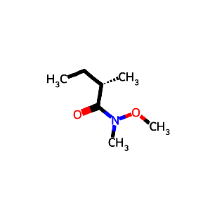 CC[C@H](C)C(=O)N(C)OC